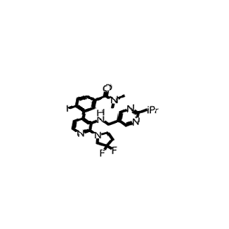 CC(C)c1ncc(CNc2c(-c3cc(C(=O)N(C)C)ccc3I)ccnc2N2CCC(F)(F)C2)cn1